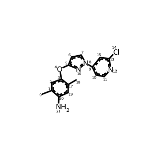 Cc1cc(Oc2ccn(-c3ccnc(Cl)c3)n2)c(C)cc1N